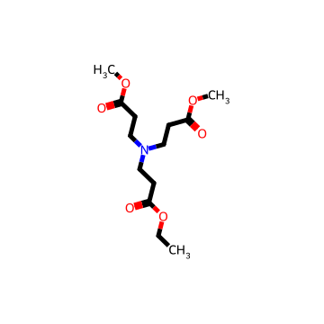 CCOC(=O)CCN(CCC(=O)OC)CCC(=O)OC